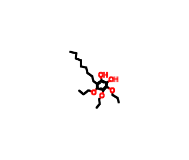 CCCCCCCCCc1c(O)c(O)c(OCCC)c(OCCC)c1OCCC